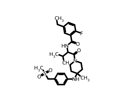 CCc1ccc(F)c(C(=O)NC(C(=O)N2CCC(C)(Nc3ccc(CS(C)(=O)=O)cc3)CC2)C(C)C)c1